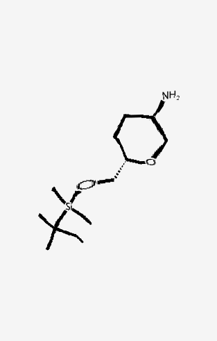 CC(C)(C)[Si](C)(C)OC[C@@H]1CC[C@@H](N)CO1